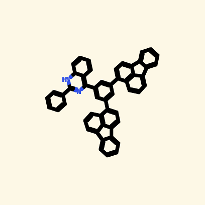 C1=CC2=C(c3cc(-c4ccc5c6c(cccc46)-c4ccccc4-5)cc(-c4ccc5c6c(cccc46)-c4ccccc4-5)c3)N=C(c3ccccc3)NC2C=C1